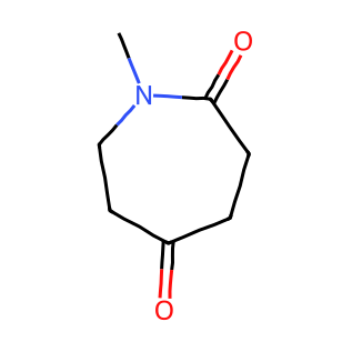 CN1CCC(=O)CCC1=O